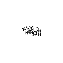 CNC(=O)c1ccc(C)c(Nc2nc(C)nc(N(C)CC(C)(C)C)c2C#N)c1